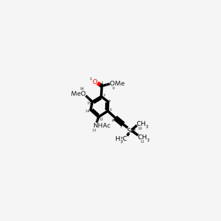 COC(=O)c1cc(C#C[Si](C)(C)C)c(NC(C)=O)cc1OC